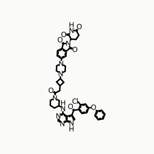 O=C1CCC(N2C(=O)c3ccc(N4CCN(C5CC(CC(=O)N6CCCC(Nc7ncnc8[nH]cc(C(=O)c9ccc(Oc%10ccccc%10)cc9Cl)c78)C6)C5)CC4)cc3C2=O)C(=O)N1